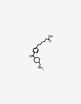 NCC1CCC(C(=O)c2ccc(CCCCCC(=O)O)cc2)CC1